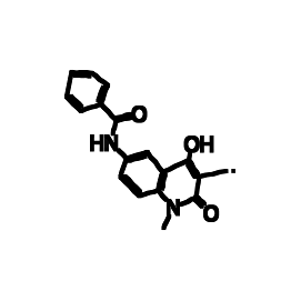 [CH2]c1c(O)c2cc(NC(=O)c3ccccc3)ccc2n(C)c1=O